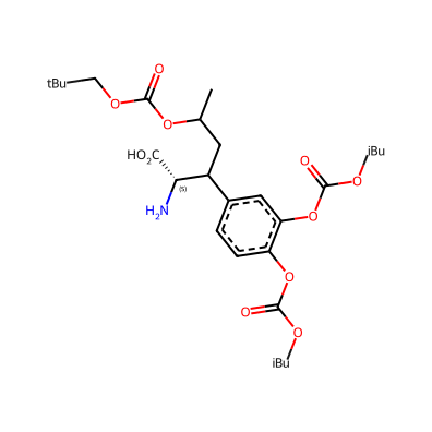 CCC(C)OC(=O)Oc1ccc(C(CC(C)OC(=O)OCC(C)(C)C)[C@H](N)C(=O)O)cc1OC(=O)OC(C)CC